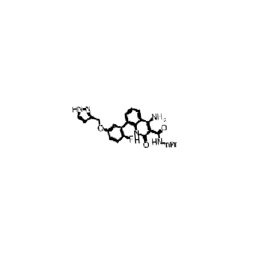 CCCNC(=O)c1c(N)c2cccc(-c3cc(OCc4cc[nH]n4)ccc3F)c2[nH]c1=O